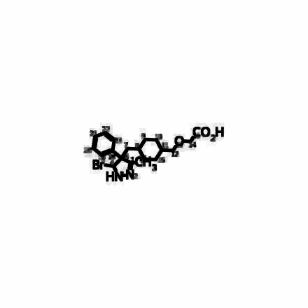 CC1=NNC(Br)C1(CC1CCC(COCC(=O)O)CC1)c1ccccc1